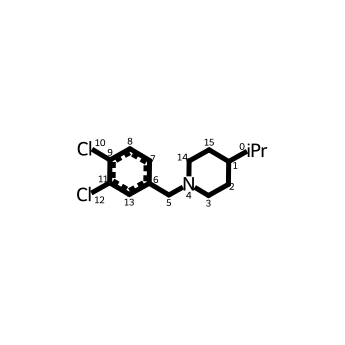 CC(C)C1CCN(Cc2ccc(Cl)c(Cl)c2)CC1